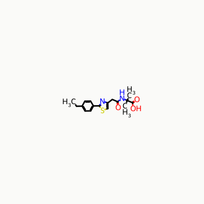 CCc1ccc(-c2nc(CC(=O)NC(C)(C)C(=O)O)cs2)cc1